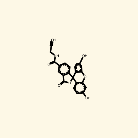 C#CCNC(=O)c1ccc2c(c1)C(=O)OC21c2ccc(O)cc2Oc2cc(O)ccc21